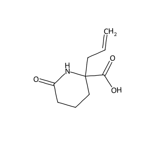 C=CCC1(C(=O)O)CCCC(=O)N1